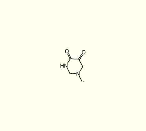 [CH2]N1CNC(=O)C(=O)C1